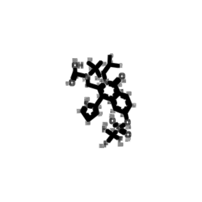 CC(C)Cn1c(CN(C(=O)O)C(C)(C)C)c(-c2cccs2)c2cc(OS(=O)(=O)C(F)(F)F)ccc2c1=O